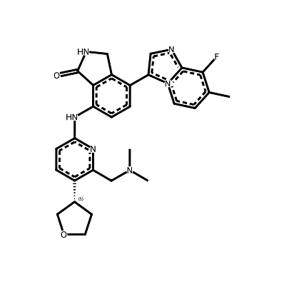 Cc1ccn2c(-c3ccc(Nc4ccc([C@@H]5CCOC5)c(CN(C)C)n4)c4c3CNC4=O)cnc2c1F